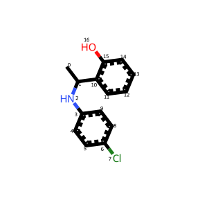 CC(Nc1ccc(Cl)cc1)c1ccccc1O